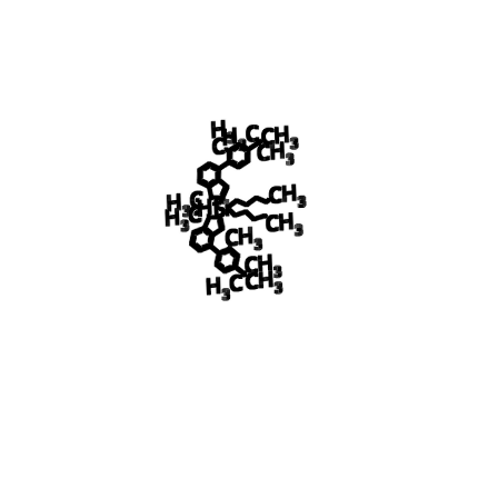 CCCCC[Si]1(CCCCC)C2=Cc3c(-c4ccc(C(C)(C)C)cc4C)cccc3[CH]2[Hf]([CH3])([CH3])[CH]2C1=Cc1c(-c3ccc(C(C)(C)C)cc3C)cccc12